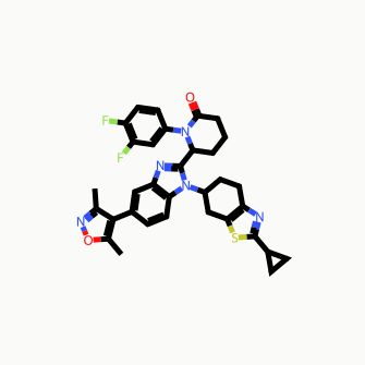 Cc1noc(C)c1-c1ccc2c(c1)nc(C1CCCC(=O)N1c1ccc(F)c(F)c1)n2C1CCc2nc(C3CC3)sc2C1